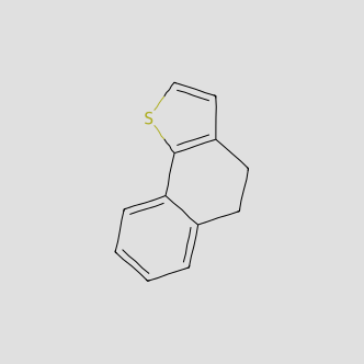 c1ccc2c(c1)CCc1ccsc1-2